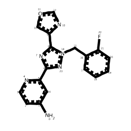 Nc1ccnc(-c2nc(-c3cocn3)n(Cc3ccccc3F)n2)c1